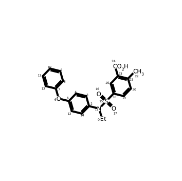 CCN(c1ccc(Oc2ccccc2)cc1)S(=O)(=O)c1ccc(C)c(C(=O)O)c1